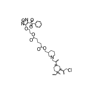 C=C[C@]1(C)CC[C@@H](C(=C)CN2CCCC(COC(=O)CCCC(=O)OCCOc3nonc3S(=O)(=O)c3ccccc3)C2)C[C@H]1C(=C)CCl